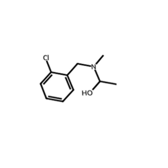 CC(O)N(C)Cc1ccccc1Cl